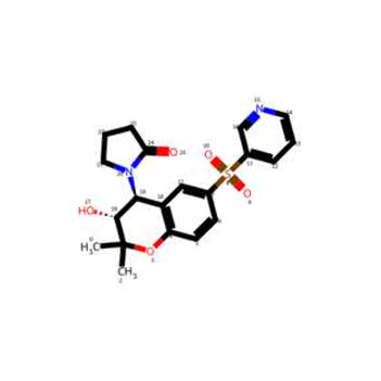 CC1(C)Oc2ccc(S(=O)(=O)c3cccnc3)cc2[C@H](N2CCCC2=O)[C@H]1O